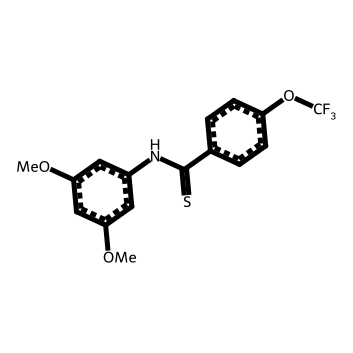 COc1cc(NC(=S)c2ccc(OC(F)(F)F)cc2)cc(OC)c1